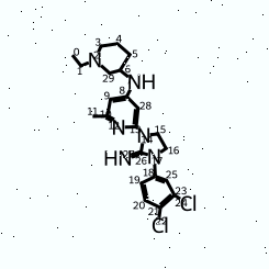 CCN1CCCC(Nc2cc(C)nc(N3CCN(c4ccc(Cl)c(Cl)c4)C3=N)c2)C1